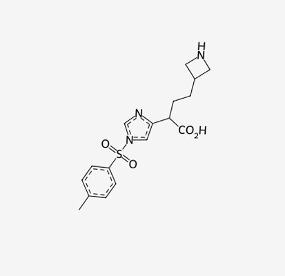 Cc1ccc(S(=O)(=O)n2cnc(C(CCC3CNC3)C(=O)O)c2)cc1